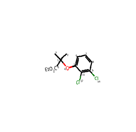 CCOC(=O)C(C)(C)Oc1cccc(Cl)c1Cl